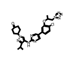 CC(Cn1cnnn1)Oc1cc(-c2cnc(Nc3cn(C4CCC(=O)CC4)nc3C(C)C)nc2)ccc1Cl